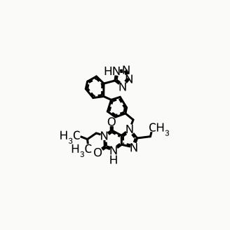 CCc1nc2[nH]c(=O)n(CC(C)C)c(=O)c2n1Cc1ccc(-c2ccccc2-c2nnn[nH]2)cc1